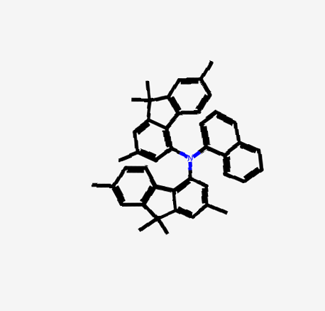 Cc1ccc2c(c1)C(C)(C)c1cc(C)cc(N(c3cc(C)cc4c3-c3ccc(C)cc3C4(C)C)c3cccc4ccccc34)c1-2